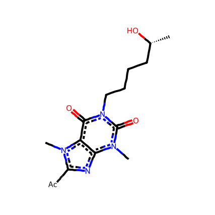 CC(=O)c1nc2c(c(=O)n(CCCC[C@@H](C)O)c(=O)n2C)n1C